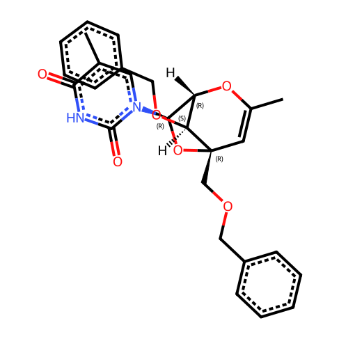 CC1=C[C@]2(COCc3ccccc3)O[C@@H](n3cc(C)c(=O)[nH]c3=O)[C@H](O1)[C@@H]2OCc1ccccc1